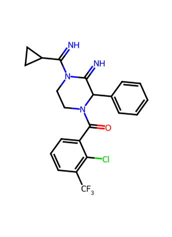 N=C(C1CC1)N1CCN(C(=O)c2cccc(C(F)(F)F)c2Cl)C(c2ccccc2)C1=N